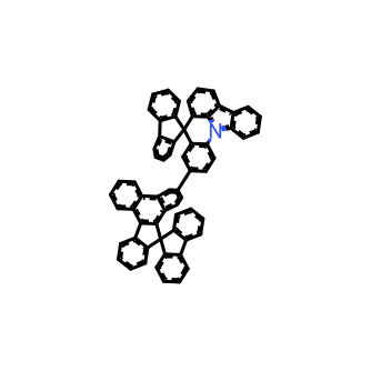 c1ccc2c(c1)-c1ccccc1C21c2ccccc2-c2c1c1ccc(-c3ccc4c(c3)C3(c5ccccc5-c5ccccc53)c3cccc5c6ccccc6n-4c35)cc1c1ccccc21